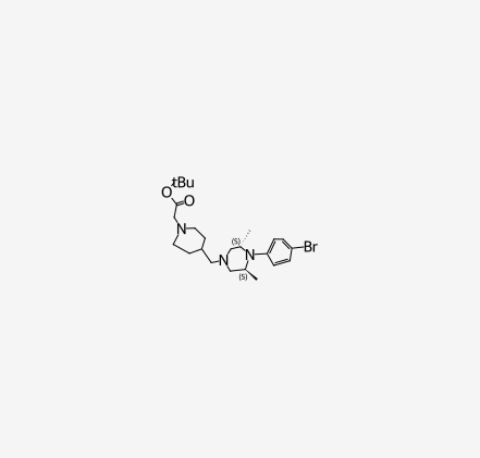 C[C@H]1CN(CC2CCN(CC(=O)OC(C)(C)C)CC2)C[C@H](C)N1c1ccc(Br)cc1